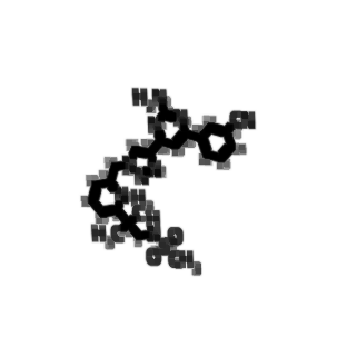 CC(C)(CNS(C)(=O)=O)c1cccc(Cn2cc(-c3cc(-c4cccc(C#N)c4)nc(N)n3)nn2)n1